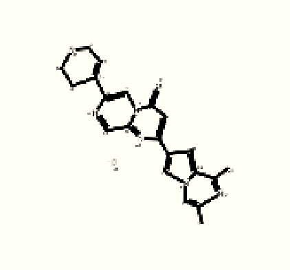 Cc1cn2cc(-c3cc(=O)n4cc(C5=CCNCC5)ncc4n3)cc2c(C)n1.Cl